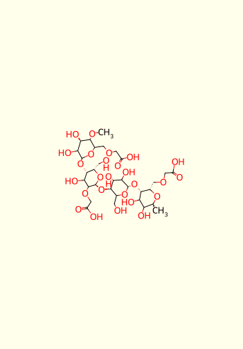 CO[C@@H]1C(COCC(=O)O)O[C@@H](O[C@H]2C(O)C(OCC(=O)O)[C@H](O[C@@H]3C(CO)O[C@@H](O[C@H]4C(O)C(O)[C@H](C)O[C@H]4COCC(=O)O)C(O)[C@H]3O)O[C@H]2CO)C(O)[C@H]1O